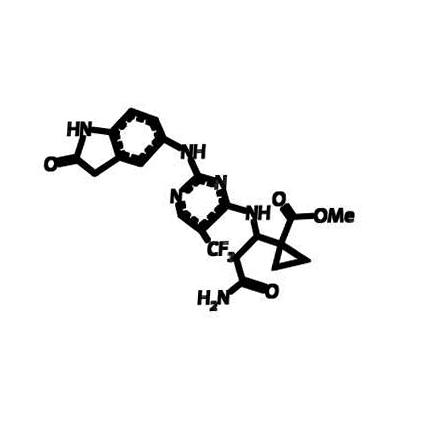 COC(=O)C1(C(CC(N)=O)Nc2nc(Nc3ccc4c(c3)CC(=O)N4)ncc2C(F)(F)F)CC1